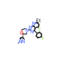 CCc1ccc2c(-c3ccc(F)cc3F)nc(N3CCO[C@H](c4cnn(C)c4)C3)nc2n1